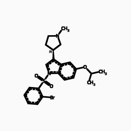 CC(C)Oc1ccc2c(c1)c([C@H]1CCN(C)C1)cn2S(=O)(=O)c1ccccc1Br